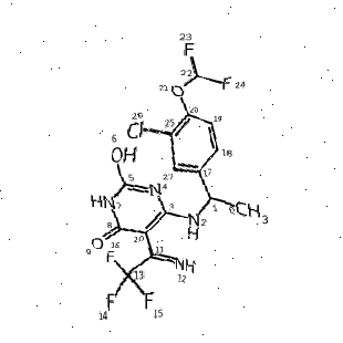 CC(Nc1nc(O)[nH]c(=O)c1C(=N)C(F)(F)F)c1ccc(OC(F)F)c(Cl)c1